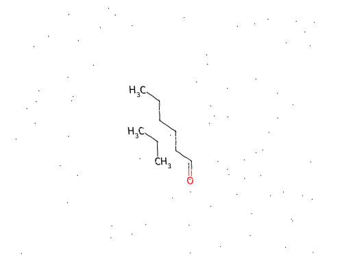 CCC.CCCCCC=O